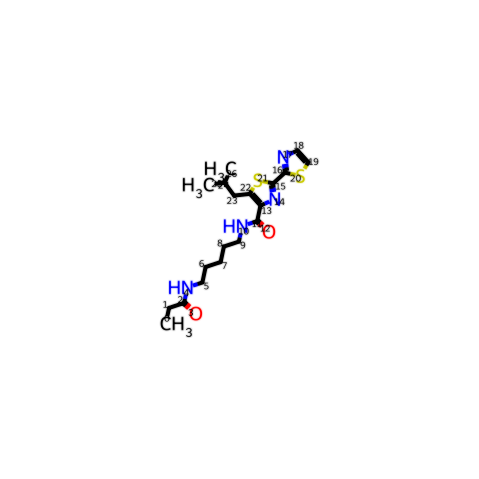 CCC(=O)NCCCCCNC(=O)c1nc(-c2nccs2)sc1CC(C)C